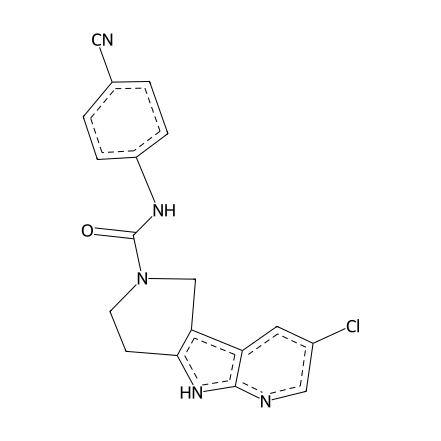 N#Cc1ccc(NC(=O)N2CCc3[nH]c4ncc(Cl)cc4c3C2)cc1